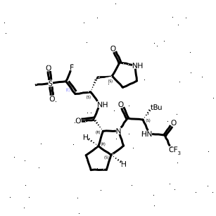 CC(C)(C)[C@H](NC(=O)C(F)(F)F)C(=O)N1C[C@H]2CCC[C@H]2[C@@H]1C(=O)N[C@H](/C=C(\F)S(C)(=O)=O)C[C@@H]1CCNC1=O